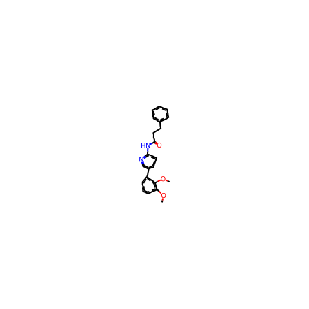 COc1cccc(-c2ccc(NC(=O)CCc3ccccc3)nc2)c1OC